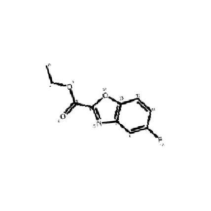 CCOC(=O)c1nc2cc(F)ccc2o1